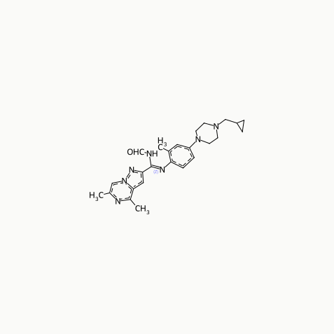 Cc1cn2nc(/C(=N/c3ccc(N4CCN(CC5CC5)CC4)cc3C)NC=O)cc2c(C)n1